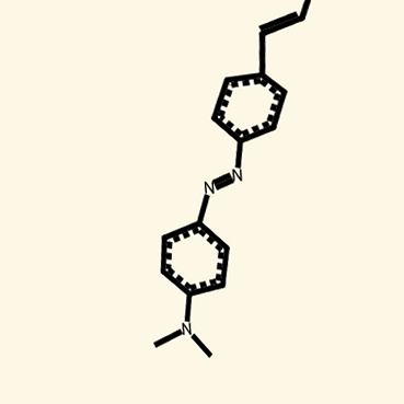 CC=Cc1ccc(N=Nc2ccc(N(C)C)cc2)cc1